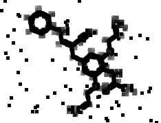 C=CCOc1cc(C/C(C#N)=C/Nc2ccccc2)cc(OCC=C)c1NC(C)=O